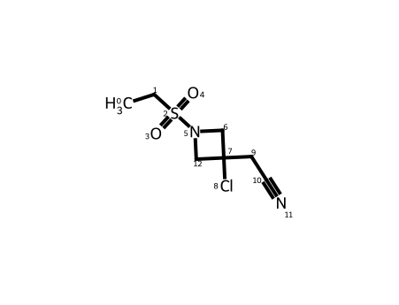 CCS(=O)(=O)N1CC(Cl)(CC#N)C1